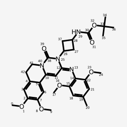 COc1cc2c(cc1OC)-c1c/c(=N\c3c(OC)cc(C)cc3OC)n(C3CC(NC(=O)OC(C)(C)C)C3)c(=O)n1CC2